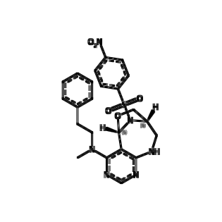 CN(CCc1ccccc1)c1ncnc2c1[C@@H]1OC[C@H](CN2)N1S(=O)(=O)c1ccc([N+](=O)[O-])cc1